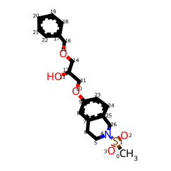 CS(=O)(=O)N1CCc2cc(OCC(O)COCc3ccccc3)ccc2C1